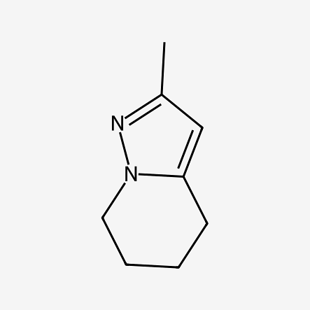 Cc1cc2n(n1)CCCC2